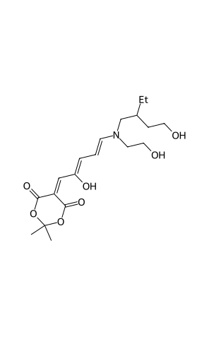 CCC(CCO)CN(/C=C/C=C(\O)C=C1C(=O)OC(C)(C)OC1=O)CCO